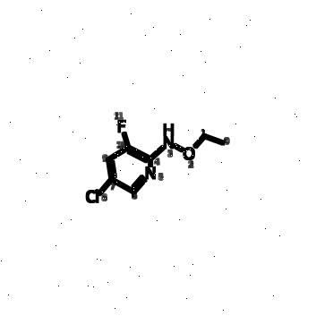 CCONc1ncc(Cl)cc1F